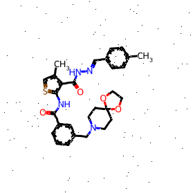 Cc1ccc(C=NNC(=O)c2c(C)csc2NC(=O)c2cccc(CN3CCC4(CC3)OCCO4)c2)cc1